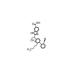 CCCCc1cc(C(CC)c2nc3ccc(C(=O)O)cc3[nH]2)ccc1-c1ccccc1C#N